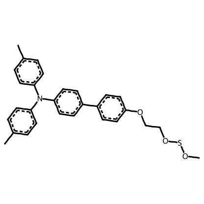 COSOCCOc1ccc(-c2ccc(N(c3ccc(C)cc3)c3ccc(C)cc3)cc2)cc1